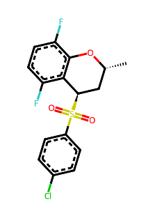 C[C@@H]1C[C@@H](S(=O)(=O)c2ccc(Cl)cc2)c2c(F)ccc(F)c2O1